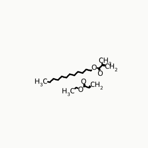 C=C(C)C(=O)OCCCCCCCCCCCC.C=CC(=O)OCC